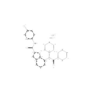 Cl.Cl.O=C(Nc1ccc(Cl)cn1)c1cc2cccc(N(C(=O)C3CCCCC3)N3CCCCC3)c2o1